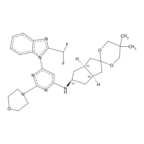 CC1(C)COC2(C[C@H]3C[C@@H](Nc4cc(-n5c(C(F)F)nc6ccccc65)nc(N5CCOCC5)n4)C[C@H]3C2)OC1